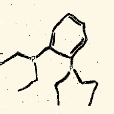 CCP(CC)c1ccccc1P(CC)CC